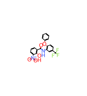 O=C(Nc1cc(C(F)(F)F)ccc1Oc1ccccc1)c1cccc([N+](=O)[O-])c1O